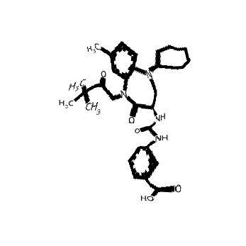 Cc1ccc2c(c1)N(CC(=O)C(C)(C)C)C(=O)[C@H](NC(=O)Nc1cccc(C(=O)O)c1)CN2C1CCCCC1